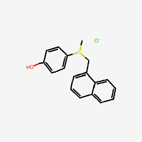 C[S+](Cc1cccc2ccccc12)c1ccc(O)cc1.[Cl-]